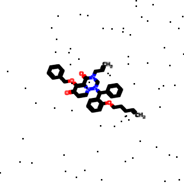 C=CCCCOc1ccccc1C(c1ccccc1)N1CN(CC=C)C(=O)c2c(OCc3ccccc3)c(=O)ccn21